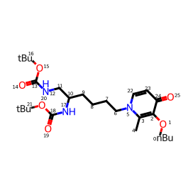 CCCCOc1c(C)n(CCCCC(CNC(=O)OC(C)(C)C)NC(=O)OC(C)(C)C)ccc1=O